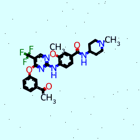 COc1cc(C(=O)NC2CCN(C)CC2)ccc1Nc1ncc(C(F)(F)F)c(Oc2cccc(C(C)=O)c2)n1